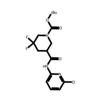 CC(C)(C)OC(=O)N1CC(C(=O)Nc2cccc(Cl)n2)CC(F)(F)C1